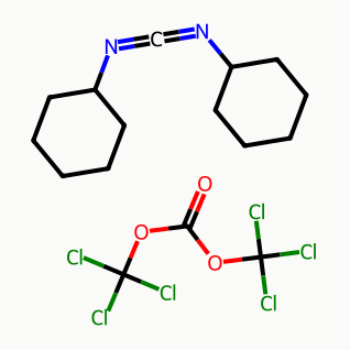 C(=NC1CCCCC1)=NC1CCCCC1.O=C(OC(Cl)(Cl)Cl)OC(Cl)(Cl)Cl